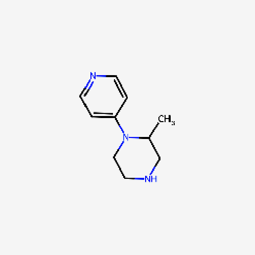 CC1CNCCN1c1ccncc1